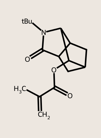 C=C(C)C(=O)OC1C2CC3C(=O)N(C(C)(C)C)C1C3C2